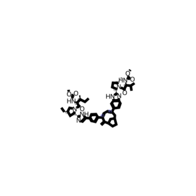 C=C1/C(c2ccc(-c3cnc([C@@H]4C[C@H](CC)CN4C(=O)[C@@H](NC(=O)OC)[C@@H](C)CC)[nH]3)cc2)=C\C=C(\c2ccc3nc([C@@H]4CC[C@H](C)N4C(=O)[C@@H](NC(=O)OC)C(C)C)[nH]c3c2)CC2CCC1C2